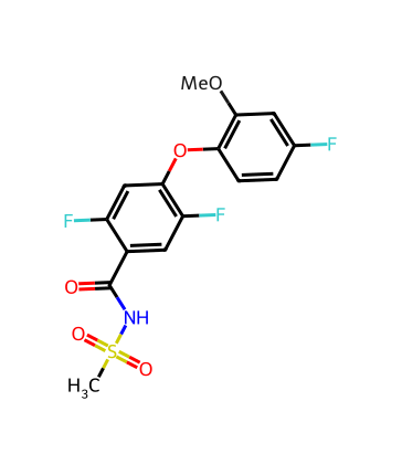 COc1cc(F)ccc1Oc1cc(F)c(C(=O)NS(C)(=O)=O)cc1F